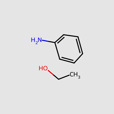 CCO.Nc1ccccc1